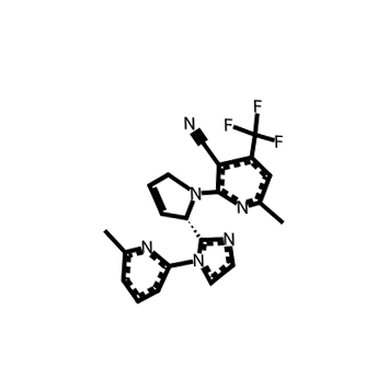 Cc1cccc(-n2ccnc2[C@@H]2C=CCN2c2nc(C)cc(C(F)(F)F)c2C#N)n1